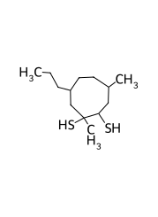 CCCC1CCC(C)CC(S)C(C)(S)C1